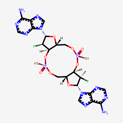 C[C@@]1(F)[C@@H]2OP(=O)(S)OC[C@H]3O[C@@H](n4cnc5c(N)ncnc54)[C@H](F)[C@@H]3O[P@](=O)(S)OC[C@H]2O[C@H]1n1cnc2c(N)ncnc21